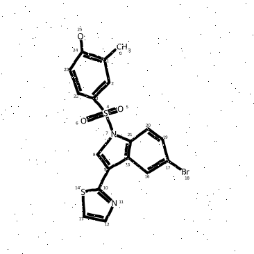 Cc1cc(S(=O)(=O)n2cc(-c3nccs3)c3cc(Br)ccc32)ccc1[O]